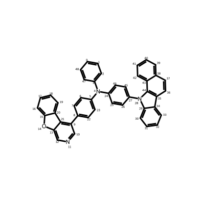 c1ccc(N(c2ccc(-c3cncc4oc5ccccc5c34)cc2)c2ccc(-n3c4ccccc4c4ccc5ccccc5c43)cc2)cc1